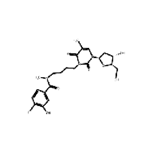 Cc1cn([C@H]2C[C@H](O)[C@@H](CO)O2)c(=O)n(CCCCN(C)C(=O)c2ccc(F)c(C#N)c2)c1=O